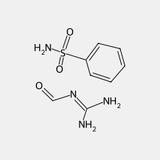 NC(N)=NC=O.NS(=O)(=O)c1ccccc1